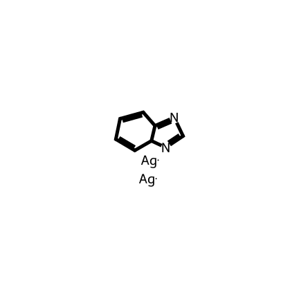 C1=CC2=NC=NC2C=C1.[Ag].[Ag]